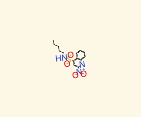 CCCCCNS(=O)(=O)c1cc([N+](=O)[O-])nc2ccccc12